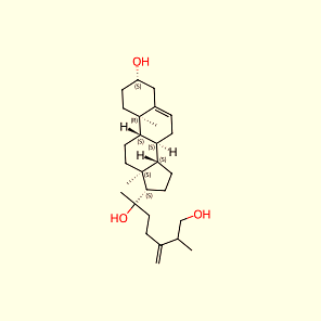 C=C(CCC(C)(O)[C@H]1CC[C@H]2[C@@H]3CC=C4C[C@@H](O)CC[C@]4(C)[C@H]3CC[C@]12C)C(C)CO